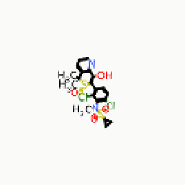 CN(c1c(Cl)ccc(C2=C(O)c3ncccc3C(C)(C)S2=S=O)c1Cl)S(=O)(=O)C1CC1